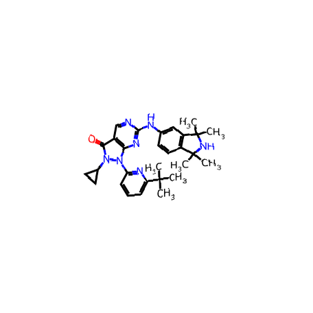 CC(C)(C)c1cccc(-n2c3nc(Nc4ccc5c(c4)C(C)(C)NC5(C)C)ncc3c(=O)n2C2CC2)n1